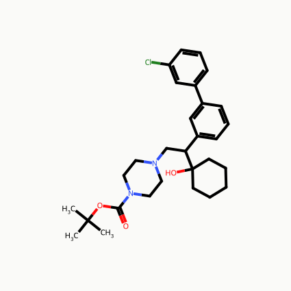 CC(C)(C)OC(=O)N1CCN(CC(c2cccc(-c3cccc(Cl)c3)c2)C2(O)CCCCC2)CC1